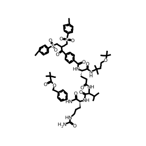 Cc1ccc(S(=O)(=O)CC(CS(=O)(=O)c2ccc(C)cc2)C(=O)c2ccc(C(=O)N[C@@H](CCC(=O)NC(C(=O)N[C@@H](CCCNC(N)=O)C(=O)Nc3ccc(COC(=O)C(C)(C)C)cc3)C(C)C)C(=O)NC(C)(C)CCOC(C)(C)C)cc2)cc1